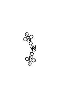 O=c1c2ccccc2n(-c2ccc(-c3nsc(-c4ccc(-n5c6ccccc6c(=O)c6ccccc65)cc4)n3)cc2)c2ccccc12